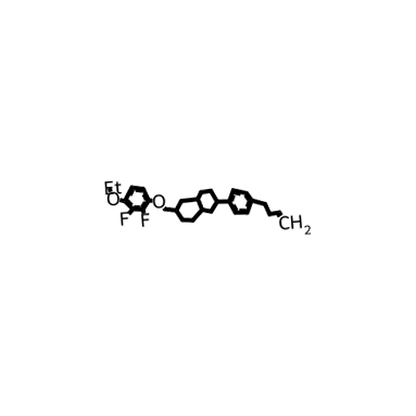 C=CCCc1ccc(C2CCC3CC(COc4ccc(OCC)c(F)c4F)CCC3C2)cc1